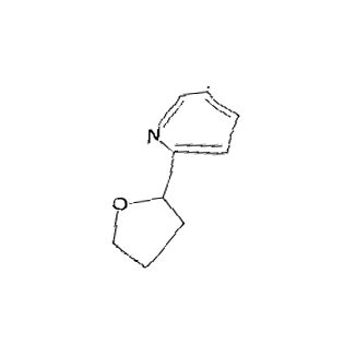 [c]1ccc(C2CCCO2)nc1